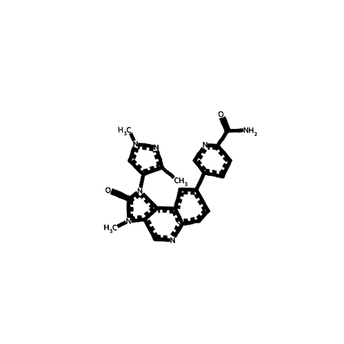 Cc1nn(C)cc1-n1c(=O)n(C)c2cnc3ccc(-c4ccc(C(N)=O)nc4)cc3c21